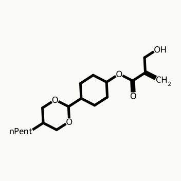 C=C(CO)C(=O)OC1CCC(C2OCC(CCCCC)CO2)CC1